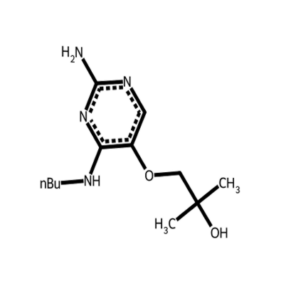 CCCCNc1nc(N)ncc1OCC(C)(C)O